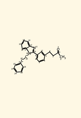 CC(=O)CCc1cccc(-c2nc3ccccc3n2CCc2ccccc2)c1